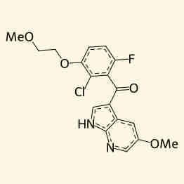 COCCOc1ccc(F)c(C(=O)c2c[nH]c3ncc(OC)cc23)c1Cl